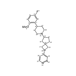 COc1ccc(F)cc1C1CCN(C2CCC3(C2)CN(c2ccnnc2)C3)CC1